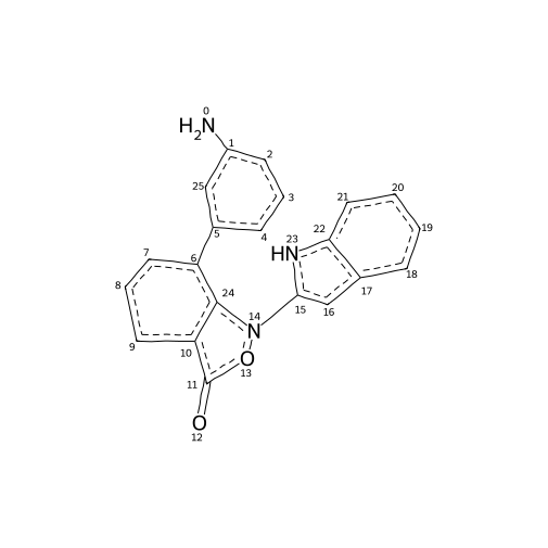 Nc1cccc(-c2cccc3c(=O)on(-c4cc5ccccc5[nH]4)c23)c1